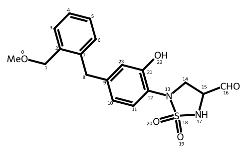 COCc1ccccc1Cc1ccc(N2CC(C=O)NS2(=O)=O)c(O)c1